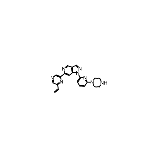 C=Cc1cncc(-c2cc3c(cn2)cnn3-c2cccc(N3CCNCC3)n2)n1